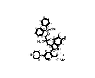 CO[C@@H](C)c1ncc(N2CCNCC2)cc1-c1[nH]c2cc(F)c(Br)cc2c1CC(C)(C)CO[Si](c1ccccc1)(c1ccccc1)C(C)(C)C